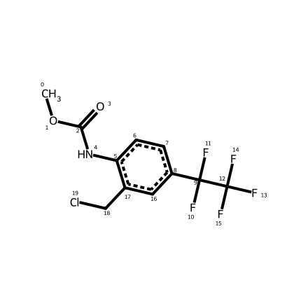 COC(=O)Nc1ccc(C(F)(F)C(F)(F)F)cc1CCl